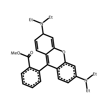 CCN(CC)c1ccc2c(c1)OC1=CC(N(CC)CC)C=CC1=C2c1ccccc1C(=O)OC